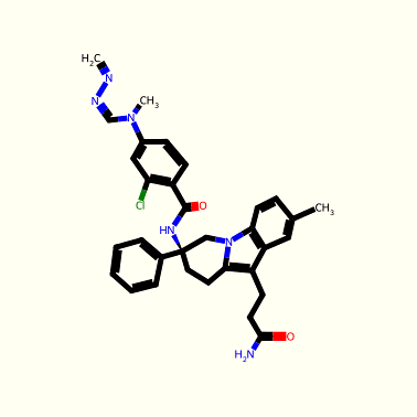 C=N/N=C\N(C)c1ccc(C(=O)N[C@]2(c3ccccc3)CCc3c(CCC(N)=O)c4cc(C)ccc4n3C2)c(Cl)c1